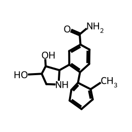 Cc1ccccc1-c1ccc(C(N)=O)cc1C1NCC(O)C1O